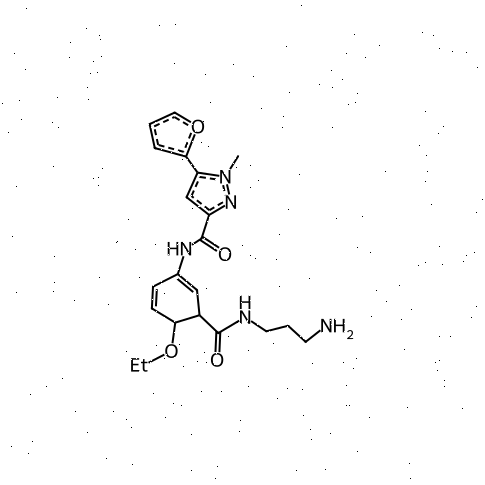 CCOC1C=CC(NC(=O)c2cc(-c3ccco3)n(C)n2)=CC1C(=O)NCCCN